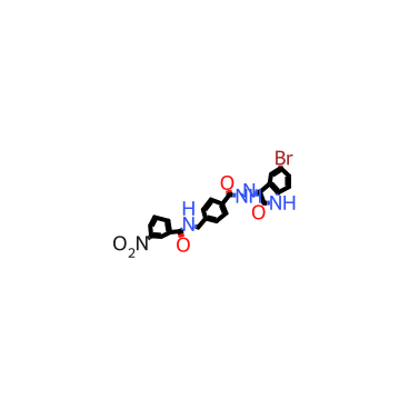 O=C1Nc2ccc(Br)cc2/C1=N/NC(=O)c1ccc(CNC(=O)c2cccc([N+](=O)[O-])c2)cc1